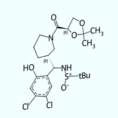 CC1(C)OC[C@H](C(=O)N2CCC[C@@H](C(N[S+]([O-])C(C)(C)C)c3cc(Cl)c(Cl)cc3O)C2)O1